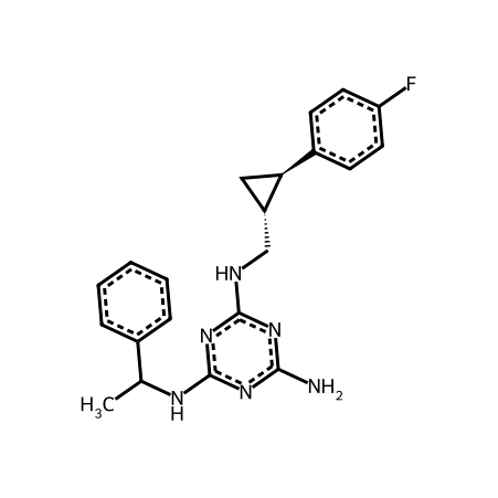 CC(Nc1nc(N)nc(NC[C@@H]2C[C@H]2c2ccc(F)cc2)n1)c1ccccc1